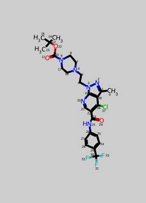 Cc1nn(CCN2CCN(C(=O)OC(C)(C)C)CC2)c2ncc(C(=O)Nc3ccc(C(F)(F)F)cc3)c(Cl)c12